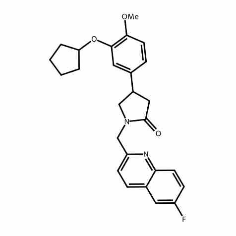 COc1ccc(C2CC(=O)N(Cc3ccc4cc(F)ccc4n3)C2)cc1OC1CCCC1